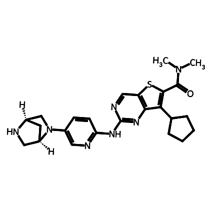 CN(C)C(=O)c1sc2cnc(Nc3ccc(N4C[C@H]5C[C@@H]4CN5)cn3)nc2c1C1CCCC1